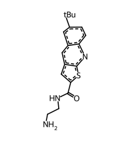 CC(C)(C)c1ccc2nc3sc(C(=O)NCCN)cc3cc2c1